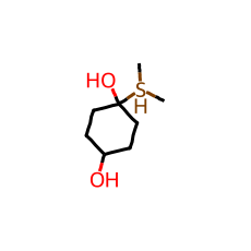 C[SH](C)C1(O)CCC(O)CC1